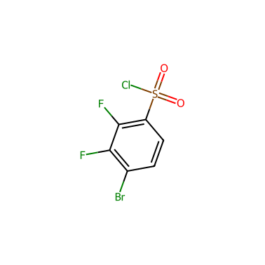 O=S(=O)(Cl)c1ccc(Br)c(F)c1F